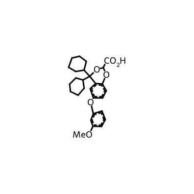 COc1cccc(Oc2ccc3c(c2)C(C2CCCCC2)(C2CCCCC2)OC(C(=O)O)O3)c1